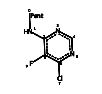 CCCC(C)Nc1ncnc(Cl)c1F